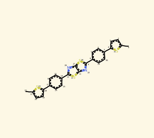 Cc1ccc(-c2ccc(-c3nc4sc(-c5ccc(-c6ccc(C)s6)cc5)nc4s3)cc2)s1